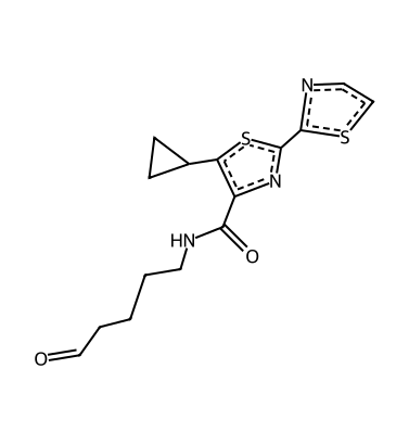 O=CCCCCNC(=O)c1nc(-c2nccs2)sc1C1CC1